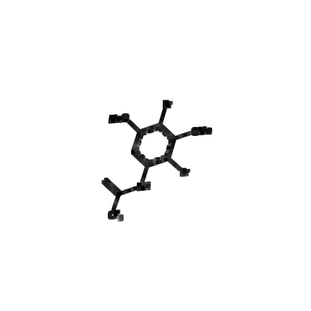 C=C(Nc1cc(OC)c(Br)c(OC)c1Br)C(F)(F)F